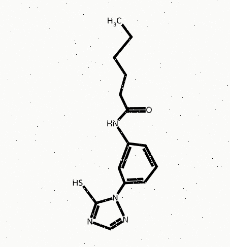 CCCCCC(=O)Nc1cccc(-n2ncnc2S)c1